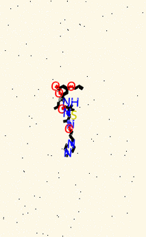 C=CCOc1cc([C@@H](CCC)NC(=O)C2(C)CSC(/C(C)=N/OCCCN3CCN(C)CC3)=N2)oc(=O)c1